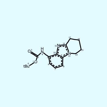 CC(C)(C)OC(=O)Nc1cccc2c1nc1n2CCCC1